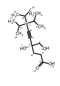 CC(C)[Si](C#C[C@@](O)(CO)CCC(=O)O)(C(C)C)C(C)C